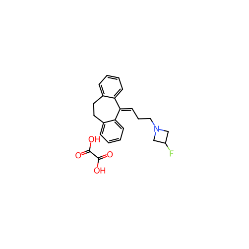 FC1CN(CCC=C2c3ccccc3CCc3ccccc32)C1.O=C(O)C(=O)O